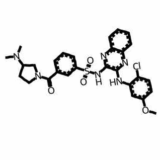 COc1ccc(Cl)c(Nc2nc3ccccc3nc2NS(=O)(=O)c2cccc(C(=O)N3CCC(N(C)C)C3)c2)c1